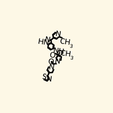 CCc1cc(-c2n[nH]c3ccc(NC(=O)[C@]4(OC)CCN(CC(=O)N5CC=C(c6nccs6)CC5)C4)cc23)ccn1